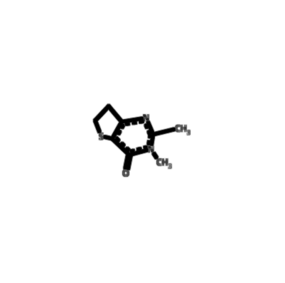 Cc1nc2c(c(=O)n1C)SCC2